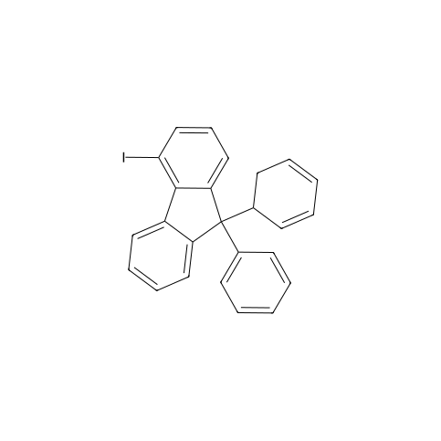 Ic1cccc2c1-c1ccccc1C2(c1ccccc1)C1C=CC=CC1